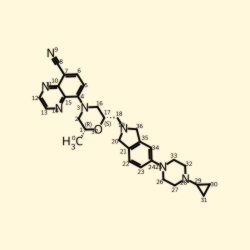 C[C@@H]1CN(c2ccc(C#N)c3nccnc23)C[C@H](CN2Cc3ccc(N4CCN(C5CC5)CC4)cc3C2)O1